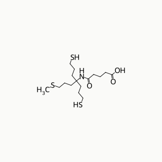 CSCCCC(CCCS)(CCCS)NC(=O)CCCC(=O)O